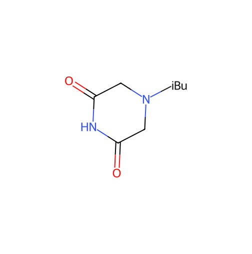 CCC(C)N1CC(=O)NC(=O)C1